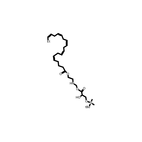 CC/C=C\C/C=C\C/C=C\C/C=C\C/C=C\CCCC(=O)OCCNCOC(=O)C(O)CO[Si](C)(C)C(C)(C)C